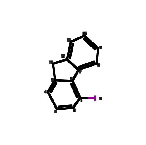 Ic1cccc2c1-c1ccccc1C2